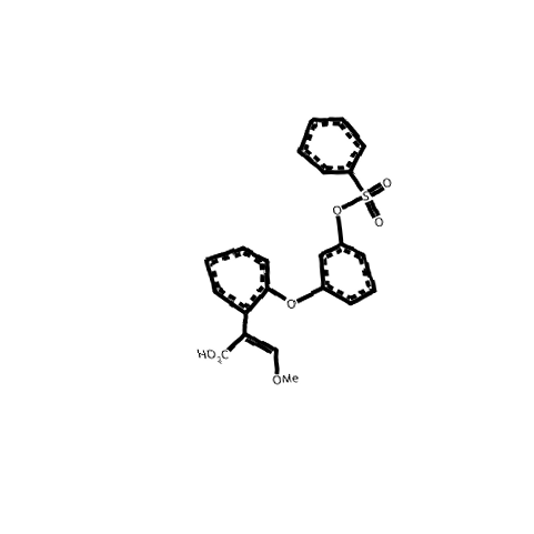 COC=C(C(=O)O)c1ccccc1Oc1cccc(OS(=O)(=O)c2ccccc2)c1